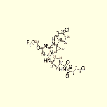 O=C(NS(=O)(=O)CCCCl)c1ccc(Nc2nc(NC3(c4ccc(Cl)cc4)CC3)nc(OCC(F)(F)F)n2)cc1